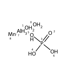 O.O.O=P(O)(O)O.[AlH3].[Mn]